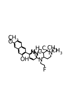 COc1ccc2cc(-c3ccc(N(CCF)C4CCN(C)C(C)(C)C4C)nn3)c(O)cc2c1